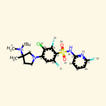 CN(C(C)(C)C)C1(C)CCN(c2cc(F)c(S(=O)(=O)Nc3cccc(F)n3)c(F)c2Cl)C1